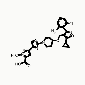 Cc1cccc(Cl)c1-c1noc(C2CC2)c1COC1CCN(c2nc(-c3cc(C(=O)O)n(C)n3)cs2)CC1